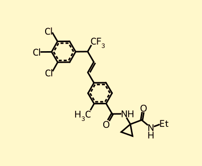 CCNC(=O)C1(NC(=O)c2ccc(/C=C/C(c3cc(Cl)c(Cl)c(Cl)c3)C(F)(F)F)cc2C)CC1